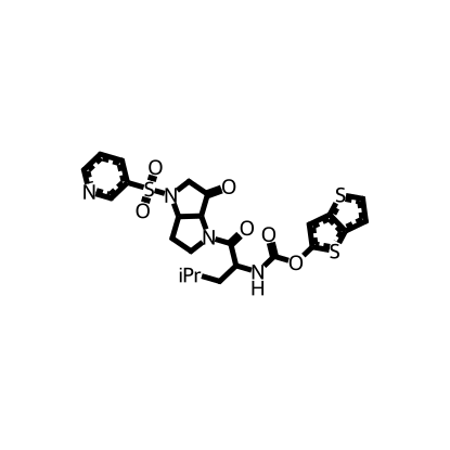 CC(C)CC(NC(=O)Oc1cc2sccc2s1)C(=O)N1CCC2C1C(=O)CN2S(=O)(=O)c1cccnc1